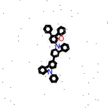 C1=CC2C(C=C1c1ccc3c(c1)c1ccccc1n3-c1ccccc1)c1ccccc1N2c1ccc(-c2ccccc2)c2c1oc1ccccc12